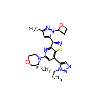 CCn1nncc1-c1cc(N2CCOC[C@H]2C)nc2c(-c3cc(C)nn3C3CCO3)nsc12